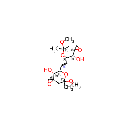 CO[C@]1(C)C[C@@]2(CO2)[C@H](O)[C@@H](/C=C/[C@H]2O[C@](C)(OC)C[C@@]3(CO3)[C@@H]2O)O1